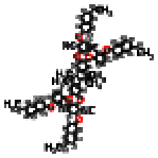 [C-]#[N+]c1c(Oc2ccc3cc(C=C)ccc3c2)cccc1Oc1cc2c(cc1Oc1cccc(Oc3ccc4cc(C=C)ccc4c3)c1[N+]#[C-])C(C)(C)C1c3cc(Oc4cccc(Oc5ccc6cc(C=C)ccc6c5)c4C#N)c(Oc4cccc(Oc5ccc6cc(C=C)ccc6c5)c4C#N)cc3C(C)(C)C21